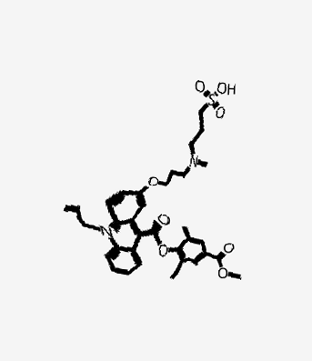 CCC[n+]1c2ccccc2c(C(=O)Oc2c(C)cc(C(=O)OC)cc2C)c2cc(OCCCN(C)CCCS(=O)(=O)O)ccc21